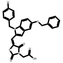 O=C(O)CN1C(=O)S/C(=C/c2cc3cc(OCc4ccccc4)ccc3n2Cc2ccc(Cl)cc2)C1=O